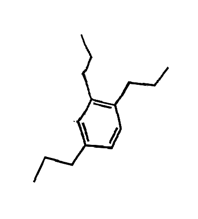 CCCc1[c]c(CCC)c(CCC)cc1